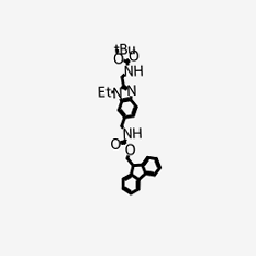 CCn1c(CNC(=O)OC(C)(C)C)nc2ccc(CNC(=O)OCC3c4ccccc4-c4ccccc43)cc21